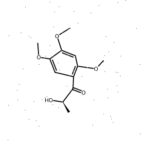 COc1cc(OC)c(C(=O)[C@@H](C)O)cc1OC